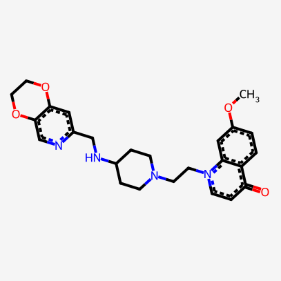 COc1ccc2c(=O)ccn(CCN3CCC(NCc4cc5c(cn4)OCCO5)CC3)c2c1